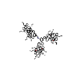 CCCC(=O)OC[C@@H](OC(=O)CCC)[C@@H](OC(=O)CCC)[C@H](OC(=O)CCC)[C@@](OC(=O)CCC)(C(=O)O)c1ccc(/C=C/c2cc(OC(=O)[C@H](OC(=O)CCC)[C@@H](OC(=O)CCC)[C@H](OC(=O)CCC)[C@@H](COC(=O)CCC)OC(=O)CCC)cc(OC(=O)[C@H](OC(=O)CCC)[C@@H](OC(=O)CCC)[C@H](OC(=O)CCC)[C@@H](COC(=O)CCC)OC(=O)CCC)c2)cc1